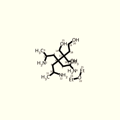 CC(N)CC(CC(C)N)(CC(C)N)C(CO)(CO)CCO.CCOCC